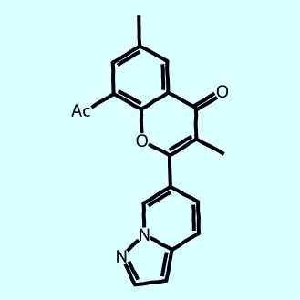 CC(=O)c1cc(C)cc2c(=O)c(C)c(-c3ccc4ccnn4c3)oc12